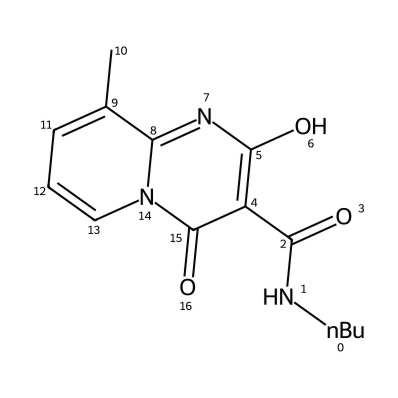 CCCCNC(=O)c1c(O)nc2c(C)cccn2c1=O